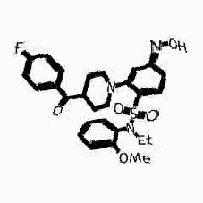 CCN(c1ccccc1OC)S(=O)(=O)C1=CCC(=NO)C=C1N1CCC(C(=O)c2ccc(F)cc2)CC1